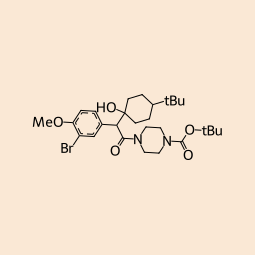 COc1ccc(C(C(=O)N2CCN(C(=O)OC(C)(C)C)CC2)C2(O)CCC(C(C)(C)C)CC2)cc1Br